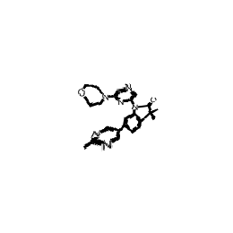 Cc1ncc(-c2ccc3c(c2)N(c2cncc(N4CCOCC4)n2)C(=O)C3(C)C)cn1